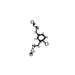 O=C=NCc1ccc(Cl)c(CN=C=O)c1